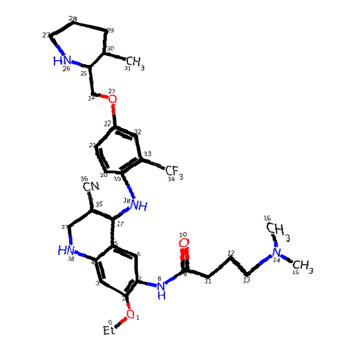 CCOc1cc2c(cc1NC(=O)CCCN(C)C)C(Nc1ccc(OCC3NCCCC3C)cc1C(F)(F)F)C(C#N)CN2